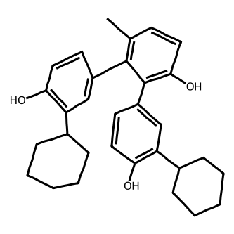 Cc1ccc(O)c(-c2ccc(O)c(C3CCCCC3)c2)c1-c1ccc(O)c(C2CCCCC2)c1